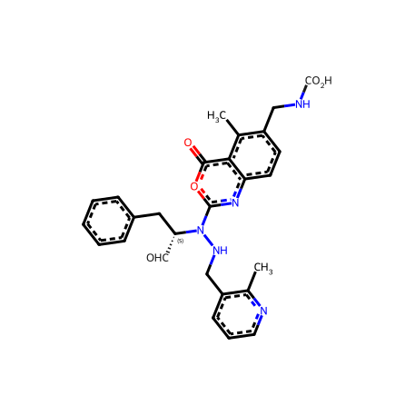 Cc1ncccc1CNN(c1nc2ccc(CNC(=O)O)c(C)c2c(=O)o1)[C@H](C=O)Cc1ccccc1